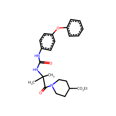 CCOC(=O)C1CCN(C(=O)C(C)(C)NC(=O)Nc2ccc(Oc3ccccc3)cc2)CC1